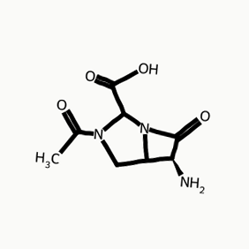 CC(=O)N1CC2[C@H](N)C(=O)N2C1C(=O)O